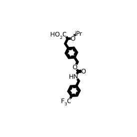 CC(C)OC(Cc1ccc(COC(=O)NCc2ccc(C(F)(F)F)cc2)cc1)C(=O)O